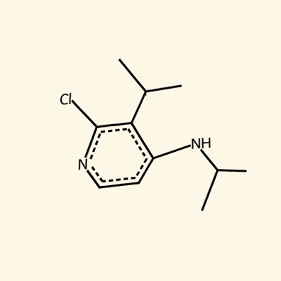 C[C](C)c1c(NC(C)C)ccnc1Cl